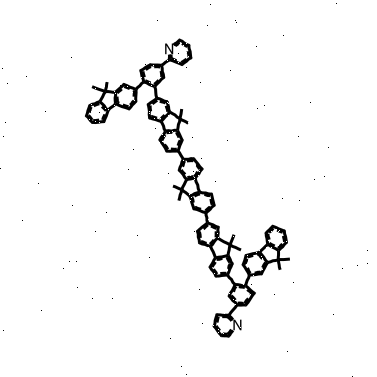 CC1(C)c2cc(-c3ccc4c(c3)C(C)(C)c3cc(-c5cc(-c6ccccn6)ccc5-c5ccc6c(c5)C(C)(C)c5ccccc5-6)ccc3-4)ccc2-c2ccc(-c3ccc4c(c3)C(C)(C)c3cc(-c5cc(-c6ccccn6)ccc5-c5ccc6c(c5)C(C)(C)c5ccccc5-6)ccc3-4)cc21